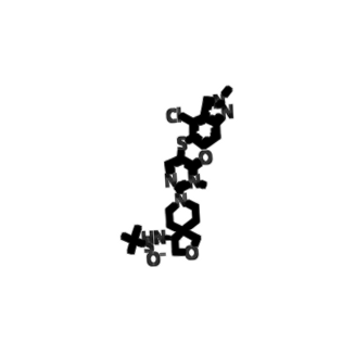 Cn1cc2c(Cl)c(Sc3cnc(N4CCC5(CC4)COC[C@H]5N[S+]([O-])C(C)(C)C)n(C)c3=O)ccc2n1